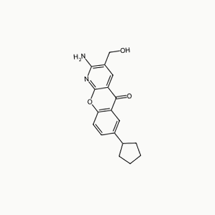 Nc1nc2oc3ccc(C4CCCC4)cc3c(=O)c2cc1CO